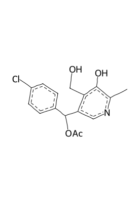 CC(=O)OC(c1ccc(Cl)cc1)c1cnc(C)c(O)c1CO